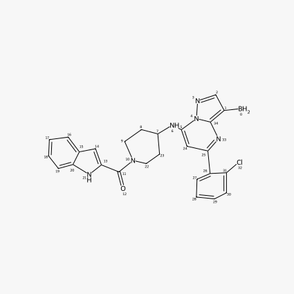 Bc1cnn2c(NC3CCN(C(=O)c4cc5ccccc5[nH]4)CC3)cc(-c3ccccc3Cl)nc12